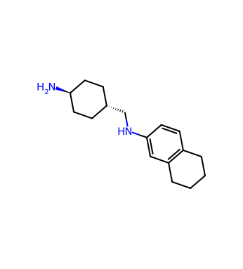 N[C@H]1CC[C@H](CNc2ccc3c(c2)CCCC3)CC1